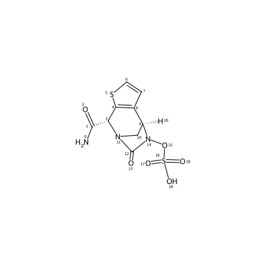 NC(=O)[C@@H]1c2sccc2[C@@H]2CN1C(=O)N2OS(=O)(=O)O